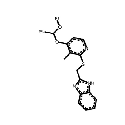 CCOC(CC)Oc1ccnc(SCc2nc3ccccc3[nH]2)c1C